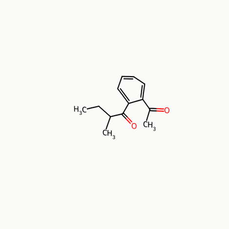 CCC(C)C(=O)c1ccccc1C(C)=O